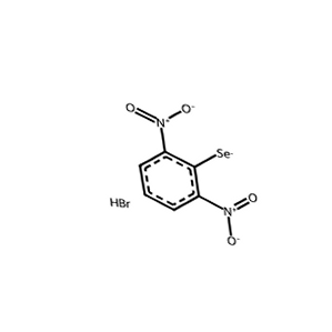 Br.O=[N+]([O-])c1cccc([N+](=O)[O-])c1[Se]